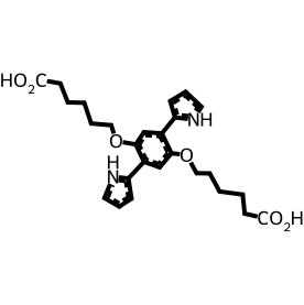 O=C(O)CCCCCOc1cc(-c2ccc[nH]2)c(OCCCCCC(=O)O)cc1-c1ccc[nH]1